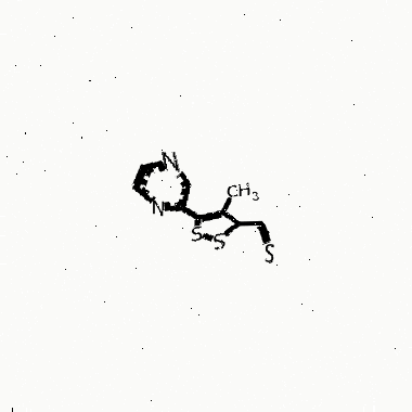 CC1=C(c2cnccn2)SSC1C=S